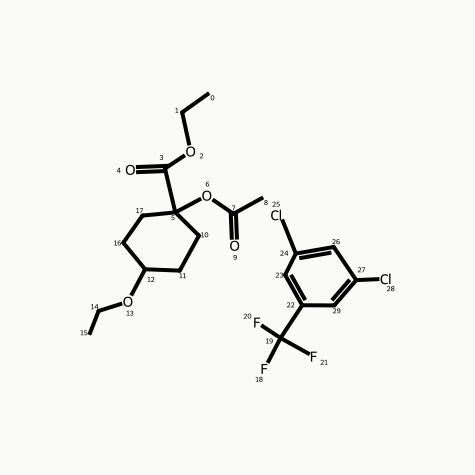 CCOC(=O)C1(OC(C)=O)CCC(OCC)CC1.FC(F)(F)c1cc(Cl)cc(Cl)c1